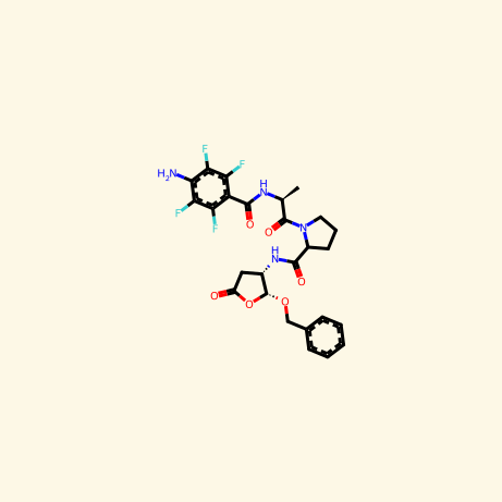 C[C@H](NC(=O)c1c(F)c(F)c(N)c(F)c1F)C(=O)N1CCCC1C(=O)N[C@H]1CC(=O)O[C@H]1OCc1ccccc1